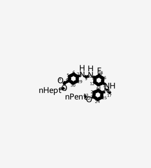 CCCCCCCOC(=O)c1ccc(NCNc2ccc(NN(C)c3ccc(OCCCCC)cc3)cc2F)cc1